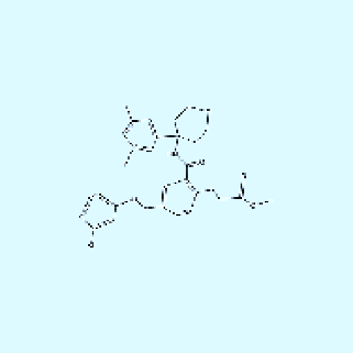 COC(=O)CCc1ccc(COc2cccc(Cl)c2)cc1C(=O)NC1(c2cc(C)cc(C)c2)CCOCC1